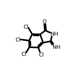 N=C1NC(=O)c2c(Cl)c(Cl)c(Cl)c(Cl)c21